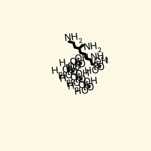 CP(=O)(O)O.CP(=O)(O)O.CP(=O)(O)O.CP(=O)(O)O.NCCCC(CN)CCCC(N)CP(=O)(O)O